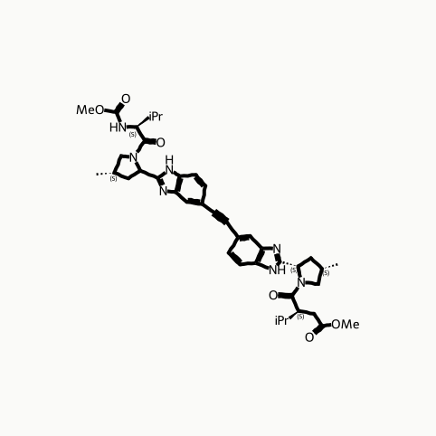 COC(=O)C[C@H](C(=O)N1C[C@@H](C)C[C@H]1c1nc2cc(C#Cc3ccc4[nH]c(C5C[C@H](C)CN5C(=O)[C@@H](NC(=O)OC)C(C)C)nc4c3)ccc2[nH]1)C(C)C